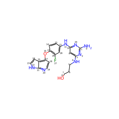 Nc1nc(NCCCO)cc(Nc2ccc(Oc3ccnc4[nH]ccc34)c(F)c2)n1